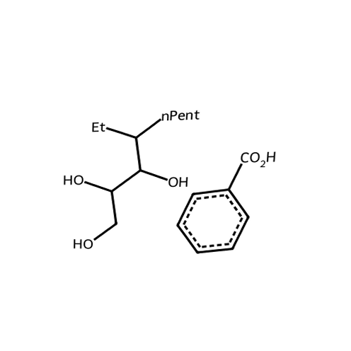 CCCCCC(CC)C(O)C(O)CO.O=C(O)c1ccccc1